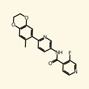 Cc1cc2c(cc1-c1ccc(NC(=O)c3ccncc3F)cn1)OCCO2